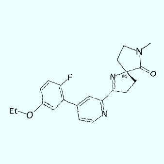 CCOc1ccc(F)c(-c2ccnc(C3=N[C@]4(CC3)CCN(C)C4=O)c2)c1